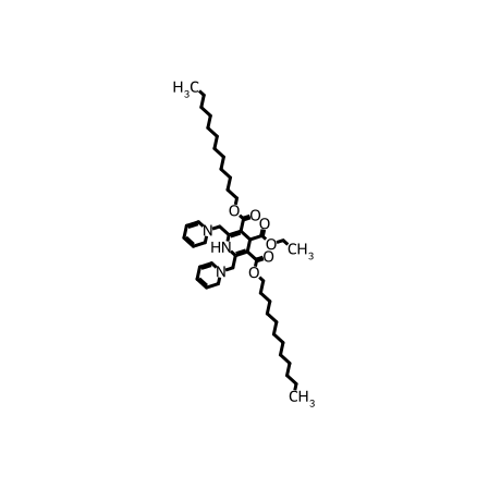 CCCCCCCCCCCCOC(=O)C1=C(CN2C=CC=CC2)NC(CN2C=CC=CC2)=C(C(=O)OCCCCCCCCCCCC)C1C(=O)OCC